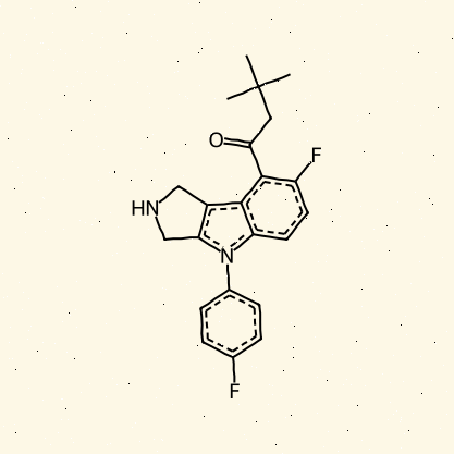 CC(C)(C)CC(=O)c1c(F)ccc2c1c1c(n2-c2ccc(F)cc2)CNC1